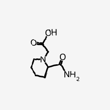 NC(=O)C1CCCCN1CC(=O)O